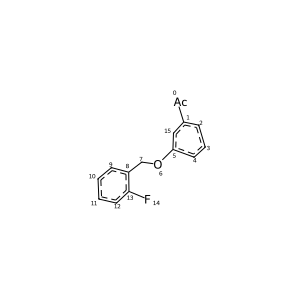 CC(=O)c1cccc(OCc2ccccc2F)c1